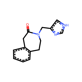 O=C1Cc2ccccc2CCN1Cc1c[nH]cn1